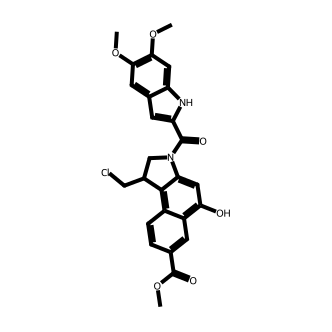 COC(=O)c1ccc2c3c(cc(O)c2c1)N(C(=O)c1cc2cc(OC)c(OC)cc2[nH]1)CC3CCl